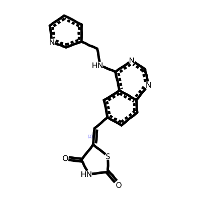 O=C1NC(=O)/C(=C/c2ccc3ncnc(NCc4cccnc4)c3c2)S1